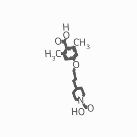 Cc1cc(OCCCC2CCN(C(=O)O)CC2)cc(C)c1C(=O)O